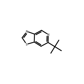 CC(C)(C)c1cc2scnc2cn1